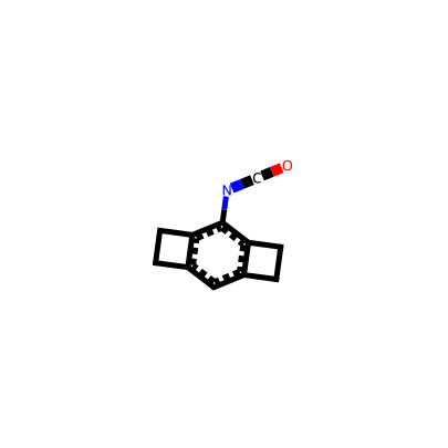 O=C=Nc1c2c(cc3c1CC3)CC2